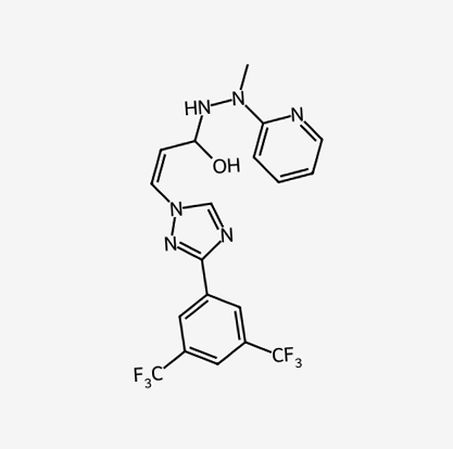 CN(NC(O)/C=C\n1cnc(-c2cc(C(F)(F)F)cc(C(F)(F)F)c2)n1)c1ccccn1